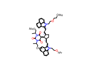 CCCOCCn1/c(=C/C=C2\CC/C(=C\C=c3/c4cccc5cccc(c54)n3CCOCCOC)C2=C2C(=O)N(C(C)COC)C(=O)N(C(C)COC)C2=O)c2cccc3cccc1c32